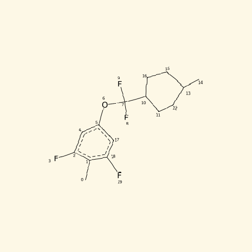 Cc1c(F)cc(OC(F)(F)C2CCC(C)CC2)cc1F